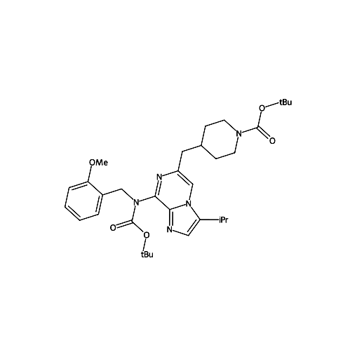 COc1ccccc1CN(C(=O)OC(C)(C)C)c1nc(CC2CCN(C(=O)OC(C)(C)C)CC2)cn2c(C(C)C)cnc12